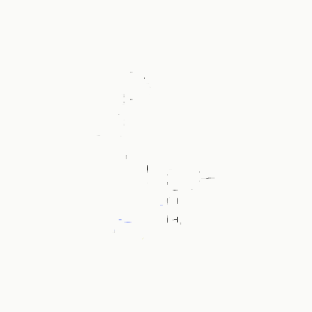 Cc1ccc(C(CCC(C)C=Cc2ccccc2)CC(C2=NCCS2)N(C)C)cc1